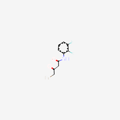 O=C(CBr)CC(=O)Nc1cccc(F)c1F